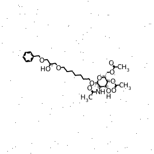 CC(=O)N[C@H]1[C@H](OCCCCCCCOC[C@@H](O)COCc2ccccc2)O[C@H](COC(C)=O)[C@H](OC(C)=O)[C@@H]1O